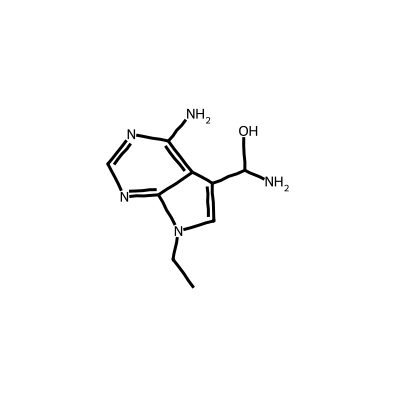 CCn1cc(C(N)O)c2c(N)ncnc21